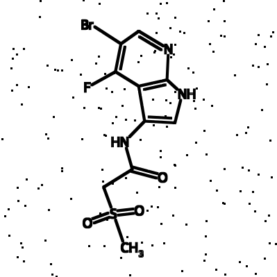 CS(=O)(=O)CC(=O)Nc1c[nH]c2ncc(Br)c(F)c12